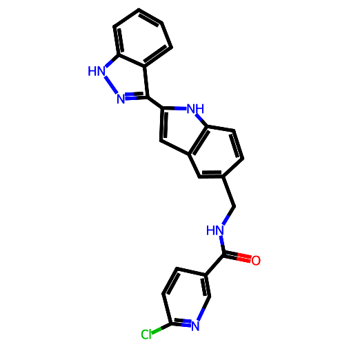 O=C(NCc1ccc2[nH]c(-c3n[nH]c4ccccc34)cc2c1)c1ccc(Cl)nc1